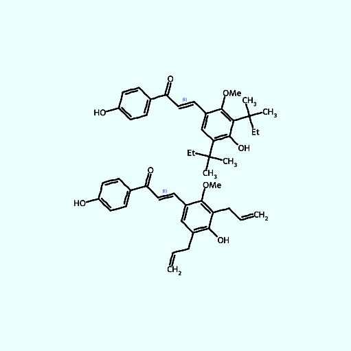 C=CCc1cc(/C=C/C(=O)c2ccc(O)cc2)c(OC)c(CC=C)c1O.CCC(C)(C)c1cc(/C=C/C(=O)c2ccc(O)cc2)c(OC)c(C(C)(C)CC)c1O